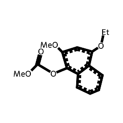 CCOc1cc(OC)c(OC(=O)OC)c2ccccc12